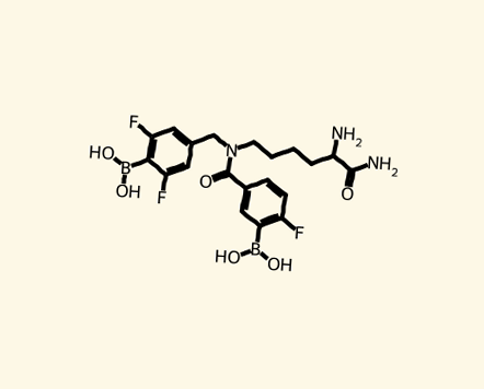 NC(=O)C(N)CCCCN(Cc1cc(F)c(B(O)O)c(F)c1)C(=O)c1ccc(F)c(B(O)O)c1